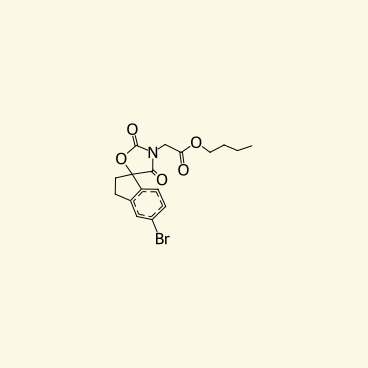 CCCCOC(=O)CN1C(=O)OC2(CCc3cc(Br)ccc32)C1=O